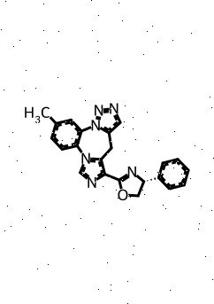 Cc1ccc2c(c1)-n1nncc1Cc1c(C3=N[C@H](c4ccccc4)CO3)ncn1-2